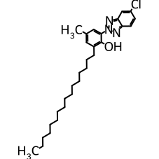 CCCCCCCCCCCCCCCCc1cc(C)cc(-n2nc3ccc(Cl)cc3n2)c1O